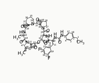 CCc1ccc(NC(=O)N[C@@H](Cc2cc(F)cc(F)c2)C(=O)N[C@@H]2C(=O)N3CCC[C@H]3C(=O)N3CCCC[C@H]3C(=O)N[C@@H](C)C(=O)N3C[C@H](C)C[C@H]3C(=O)O[C@H]2C)cc1